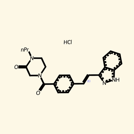 CCCN1CCN(C(=O)c2ccc(/C=C/c3n[nH]c4ccccc34)cc2)CC1=O.Cl